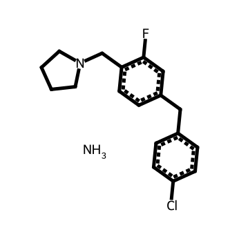 Fc1cc(Cc2ccc(Cl)cc2)ccc1CN1CCCC1.N